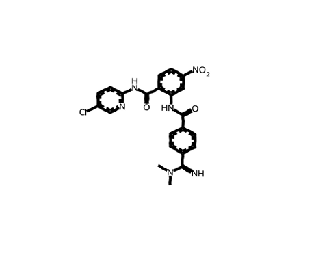 CN(C)C(=N)c1ccc(C(=O)Nc2cc([N+](=O)[O-])ccc2C(=O)Nc2ccc(Cl)cn2)cc1